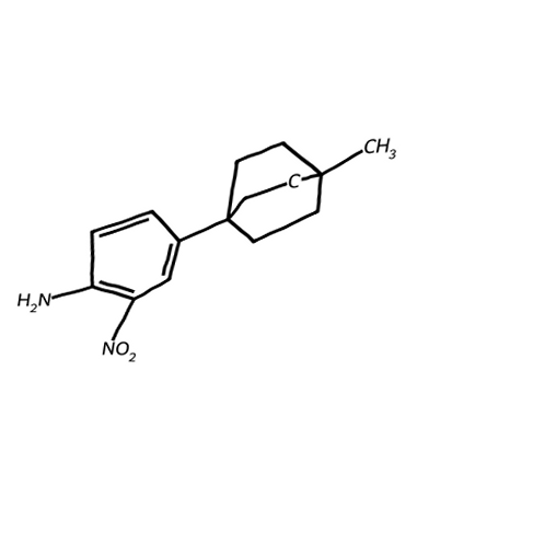 CC12CCC(c3ccc(N)c([N+](=O)[O-])c3)(CC1)CC2